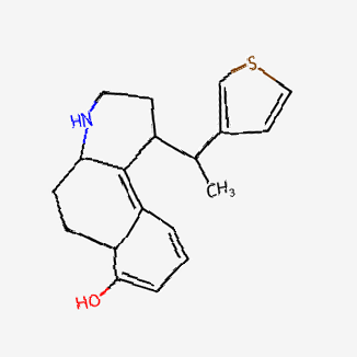 CC(c1ccsc1)C1CCNC2CCC3C(O)=CC=CC3=C21